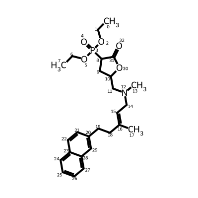 CCOP(=O)(OCC)C1CC(CN(C)CC=C(C)CCc2ccc3ccccc3c2)OC1=O